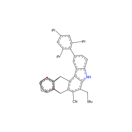 CC(C)c1cc(C(C)C)c(-c2ccc3[nH]c4c(CC(C)(C)C)c(C#N)c5c(c4c3c2)C2c3ccccc3C5c3ccccc32)c(C(C)C)c1